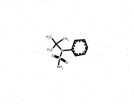 CC(C)(C)N(c1ccccc1)S(N)(=O)=O